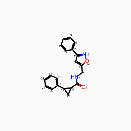 O=C(NCc1cc(-c2ccccc2)no1)C1CC1c1ccccc1